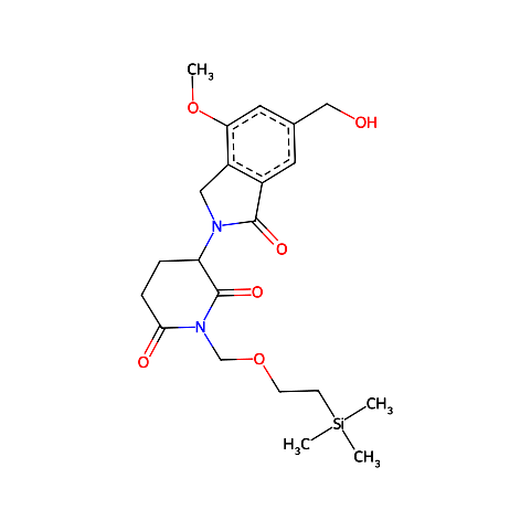 COc1cc(CO)cc2c1CN(C1CCC(=O)N(COCC[Si](C)(C)C)C1=O)C2=O